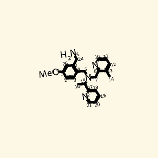 COc1ccc(CN(Cc2ncccc2C)C(C)c2ccccn2)c(CN)c1